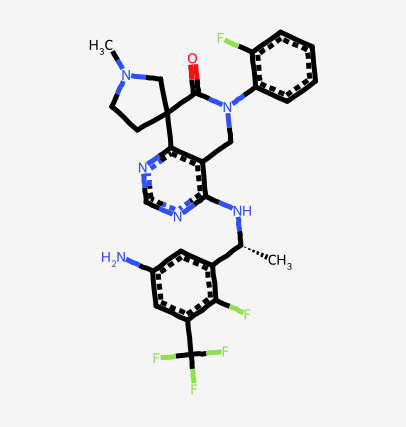 C[C@@H](Nc1ncnc2c1CN(c1ccccc1F)C(=O)C21CCN(C)C1)c1cc(N)cc(C(F)(F)F)c1F